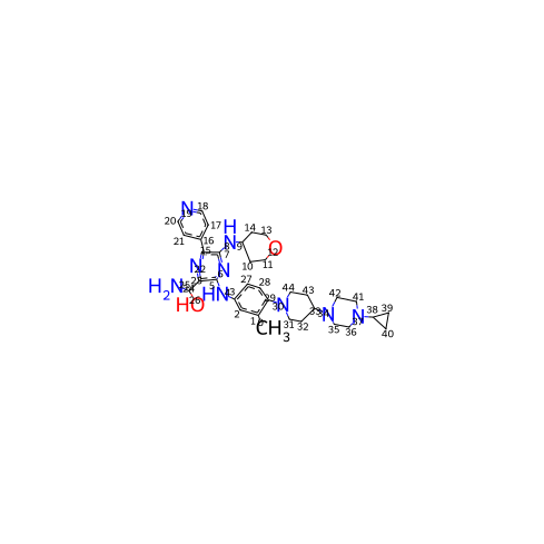 Cc1cc(Nc2nc(NC3CCOCC3)c(-c3ccncc3)nc2C(N)O)ccc1N1CCC(N2CCN(C3CC3)CC2)CC1